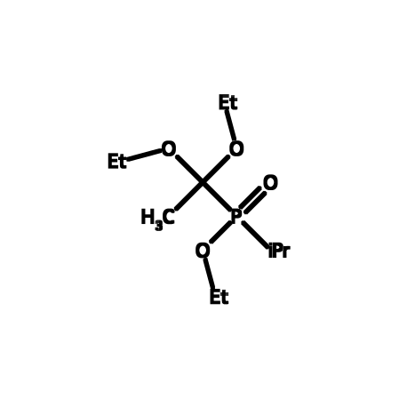 CCOC(C)(OCC)P(=O)(OCC)C(C)C